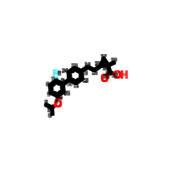 CC(C)Oc1ccc(F)c(-c2ccc(CCC3CC3(C)C(=O)O)cc2)c1